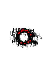 CC[C@@H]1NC(=O)[C@H]([C@H](O)[C@H](C)CCCCOC(=O)OC)N(C)C(=O)[C@H](C(C)C)N(C)C(=O)[C@H](CC(C)C)N(C)C(=O)[C@H](CC(C)C)N(C)C(=O)[C@@H](C)NC(=O)[C@H](C)NC(=O)[C@H](CC(C)C)N(C)C(=O)[C@H](C(C)C)NC(=O)[C@H]([C@@H](C)OCCCCN2CCOCC2)N(C)C(=O)[C@@H](C)N(C)C1=O